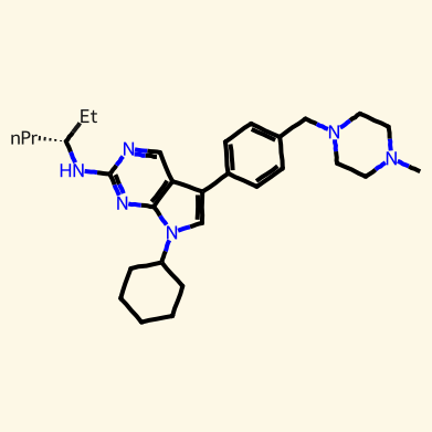 CCC[C@H](CC)Nc1ncc2c(-c3ccc(CN4CCN(C)CC4)cc3)cn(C3CCCCC3)c2n1